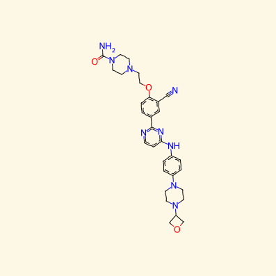 N#Cc1cc(-c2nccc(Nc3ccc(N4CCN(C5COC5)CC4)cc3)n2)ccc1OCCN1CCN(C(N)=O)CC1